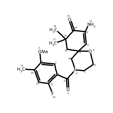 COc1cc(C(=O)N2CCOC3(C=C(N)C(=O)C(C)(C)C3)C2)c(F)cc1C